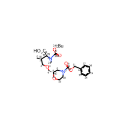 C[C@H](COC[C@@H]1CN(C(=O)OCc2ccccc2)CCO1)[C@@H](C(=O)O)N(C)C(=O)OC(C)(C)C